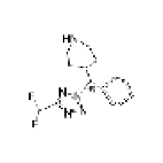 FC(F)c1nnn([C@@H](c2ccccc2)C2CCNCC2)n1